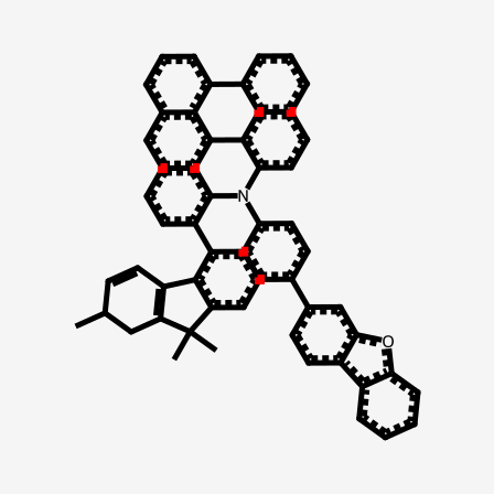 CC1C=CC2=C(C1)C(C)(C)c1cccc(-c3ccccc3N(c3ccc(-c4ccc5c(c4)oc4ccccc45)cc3)c3ccccc3-c3cccc4cccc(-c5ccccc5)c34)c12